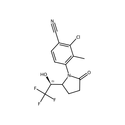 Cc1c(N2C(=O)CCC2[C@H](O)C(F)(F)F)ccc(C#N)c1Cl